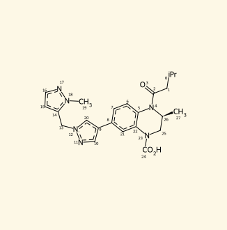 CC(C)CC(=O)N1c2ccc(-c3cnn(Cc4ccnn4C)c3)cc2N(C(=O)O)C[C@@H]1C